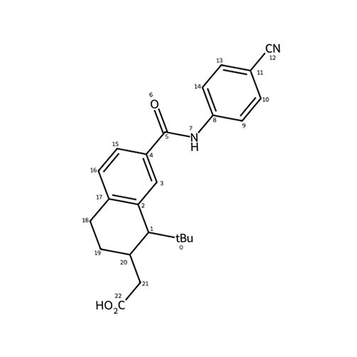 CC(C)(C)C1c2cc(C(=O)Nc3ccc(C#N)cc3)ccc2CCC1CC(=O)O